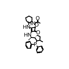 CC(=O)N[C@H]1CCCC[C@@H]1Nc1c(N[C@H](C)[C@@H]2CCC(C)C2P(c2ccccc2)c2ccccc2)c(=O)c1=O